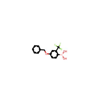 OB(O)c1ccc(OCc2ccccc2)cc1C(F)(F)F